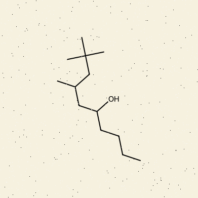 CCCCC(O)CC(C)CC(C)(C)C